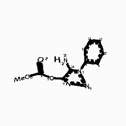 COC(=O)Oc1nnn(-c2ccccc2)c1N